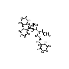 C=C[C@H](CO[Si](c1ccccc1)(c1ccccc1)C(C)(C)C)CSCc1ccccc1